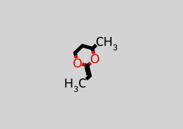 C/C=C1\OCCC(C)O1